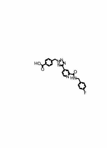 O=C(O)c1ccc(Cn2nnc(-c3ccnc(C(=O)NCc4ccc(F)cc4)c3)n2)cc1